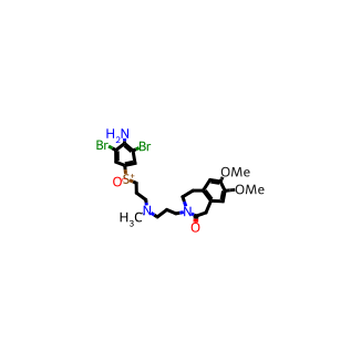 COc1cc2c(cc1OC)CC(=O)N(CCCN(C)CCC[S+]([O-])c1cc(Br)c(N)c(Br)c1)CC2